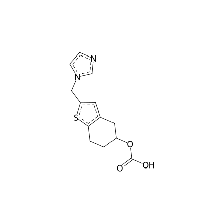 O=C(O)OC1CCc2sc(Cn3ccnc3)cc2C1